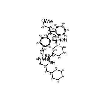 CNC[C@H](CC1CCCCC1)NC(=O)N1CCC[C@@H]([C@@](O)(CCCCOC)c2cc(Cl)ccc2Oc2ccccc2)C1